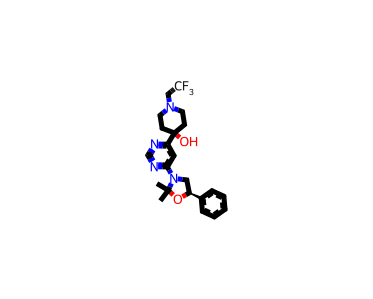 CC1(C)O[C@H](c2ccccc2)CN1c1cc(C2(O)CCN(CC(F)(F)F)CC2)ncn1